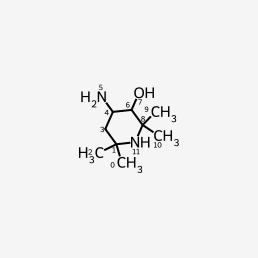 CC1(C)CC(N)C(O)C(C)(C)N1